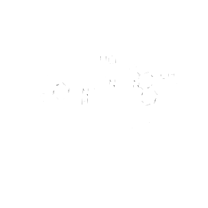 Cc1cc(=O)n(CCN2CCC(NCc3ccc4c(c3)OCCO4)CC2)c2cc(C3CCCCC3)ccc12.Cl